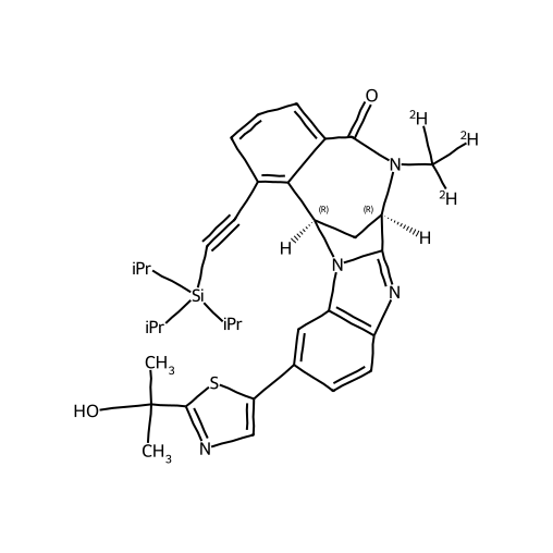 [2H]C([2H])([2H])N1C(=O)c2cccc(C#C[Si](C(C)C)(C(C)C)C(C)C)c2[C@H]2C[C@@H]1c1nc3ccc(-c4cnc(C(C)(C)O)s4)cc3n12